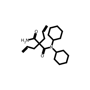 C=CCC(CC=C)(C(N)=O)C(=O)N(C1CCCCC1)C1CCCCC1